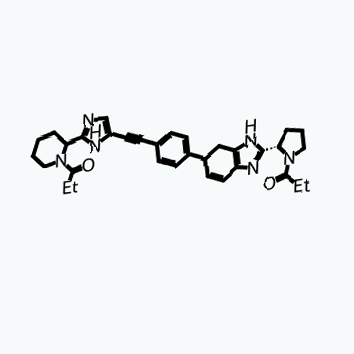 CCC(=O)N1CCCCC1c1ncc(C#Cc2ccc(C3C=Cc4nc([C@@H]5CCCN5C(=O)CC)[nH]c4C3)cc2)[nH]1